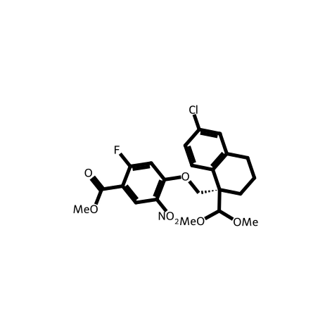 COC(=O)c1cc([N+](=O)[O-])c(OC[C@@]2(C(OC)OC)CCCc3cc(Cl)ccc32)cc1F